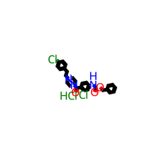 Cl.O=C(Nc1ccc(C(=O)N2CCN(CCc3ccc(Cl)cc3)CC2)c(Cl)c1)OCc1ccccc1